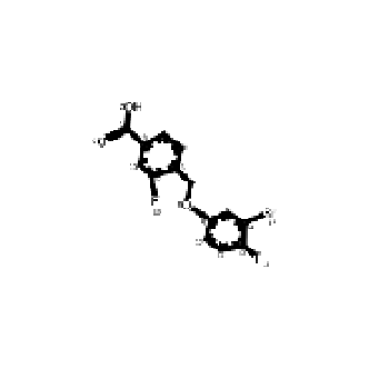 O=C(O)c1ccc(COc2ccc(F)c(Br)c2)c(F)c1